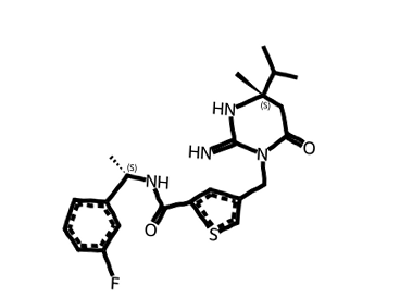 CC(C)[C@]1(C)CC(=O)N(Cc2csc(C(=O)N[C@@H](C)c3cccc(F)c3)c2)C(=N)N1